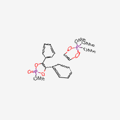 COP1(=O)OC(c2ccccc2)=C(c2ccccc2)O1.COP1(OC)(OC)OC=CO1